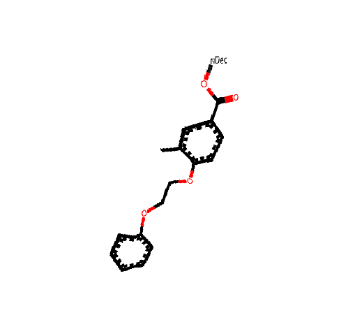 CCCCCCCCCCOC(=O)c1ccc(OCCOc2ccccc2)c(C)c1